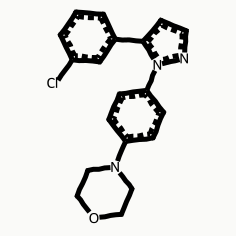 Clc1cccc(-c2ccnn2-c2ccc(N3CCOCC3)cc2)c1